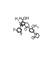 Cc1cc(N2CCCC2=O)ccc1N1CCc2c(C(N)O)nn(-c3cc(F)cc(F)c3)c2C1=O